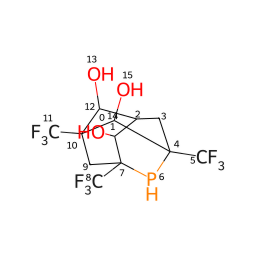 OC1C2CC3(C(F)(F)F)PC1(C(F)(F)F)CC(C(F)(F)F)(C2O)C3O